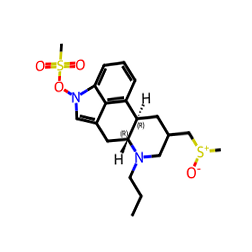 CCCN1CC(C[S+](C)[O-])C[C@@H]2c3cccc4c3c(cn4OS(C)(=O)=O)C[C@H]21